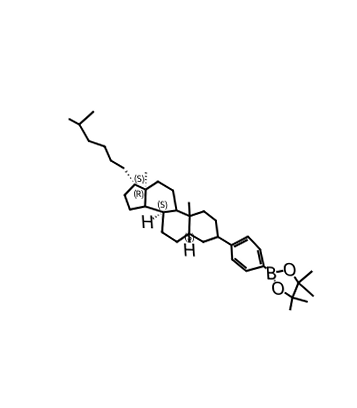 CC(C)CCCC[C@H]1CCC2[C@@H]3CC[C@H]4CC(c5ccc(B6OC(C)(C)C(C)(C)O6)cc5)CCC4(C)C3CC[C@@]21C